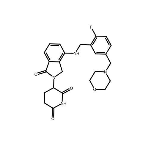 O=C1CCC(N2Cc3c(NCc4cc(CN5CCOCC5)ccc4F)cccc3C2=O)C(=O)N1